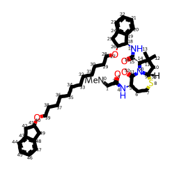 CNCC(=O)N[C@H]1CCS[C@H]2CC(C)(C)[C@@H](C(=O)N[C@H]3c4ccccc4C[C@H]3OCCCCCCCCCCCCOC3Cc4ccccc4C3)N2C1=O